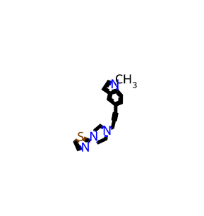 Cn1ccc2cc(C#CCN3CCN(c4nccs4)CC3)ccc21